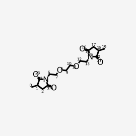 CC1CC(=O)N(CCOCCOCCN2C(=O)CC(C)C2=O)C1=O